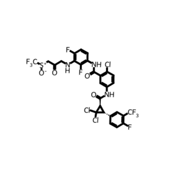 O=C(CNc1c(F)ccc(NC(=O)c2cc(NC(=O)[C@H]3[C@H](c4ccc(F)c(C(F)(F)F)c4)C3(Cl)Cl)ccc2Cl)c1F)C[S+]([O-])C(F)(F)F